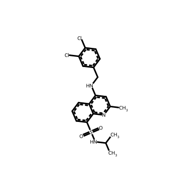 Cc1cc(NCc2ccc(Cl)c(Cl)c2)c2cccc(S(=O)(=O)NC(C)C)c2n1